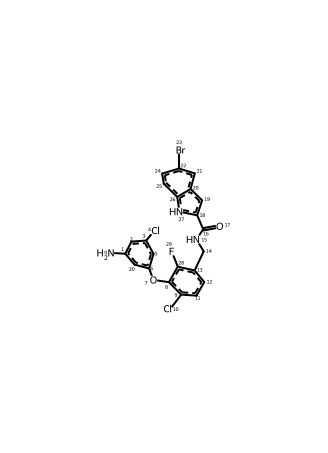 Nc1cc(Cl)cc(Oc2c(Cl)ccc(CNC(=O)c3cc4cc(Br)ccc4[nH]3)c2F)c1